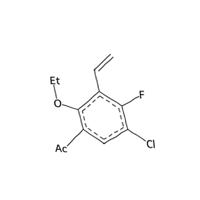 C=Cc1c(F)c(Cl)cc(C(C)=O)c1OCC